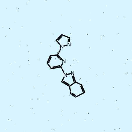 c1cc(-n2cccn2)nc(-n2cc3ccccc3n2)c1